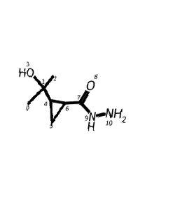 CC(C)(O)C1CC1C(=O)NN